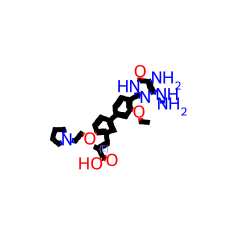 CCOc1cc(-c2ccc(OCCN3CCCC3)c(/C=C(\C)C(=O)O)c2)ccc1-c1nc(NN)c(N)c(=O)[nH]1